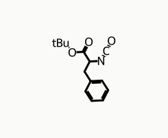 CC(C)(C)OC(=O)C(Cc1ccccc1)N=C=O